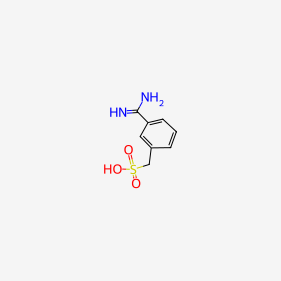 N=C(N)c1cccc(CS(=O)(=O)O)c1